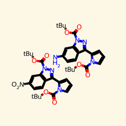 CC(C)(C)OC(=O)n1cccc1-c1nn(C(=O)OC(C)(C)C)c2cc(N)ccc12.CC(C)(C)OC(=O)n1cccc1-c1nn(C(=O)OC(C)(C)C)c2cc([N+](=O)[O-])ccc12